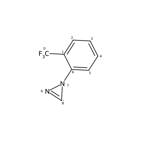 FC(F)(F)c1ccccc1N1[C]=N1